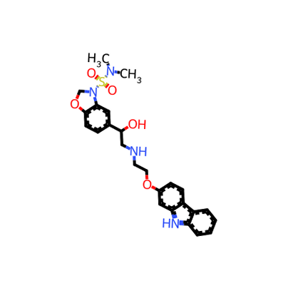 CN(C)S(=O)(=O)N1COc2ccc(C(O)CNCCOc3ccc4c(c3)[nH]c3ccccc34)cc21